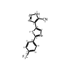 N#Cc1[nH]nnc1-c1cnc(-c2ccc(C(F)(F)F)cc2)s1